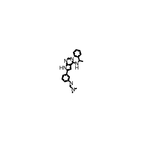 CC(Nc1ncnc2[nH]c(-c3cccc(N=CN(C)C)c3)cc12)c1ccccc1